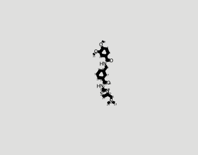 COc1ccc(C(=O)NCc2cccc(C(=O)Nc3nc(CN(C)C)cs3)c2)cc1OC